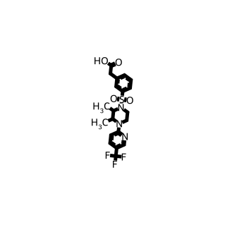 CC1C(C)N(S(=O)(=O)c2cccc(CC(=O)O)c2)CCN1c1ccc(C(F)(F)F)cn1